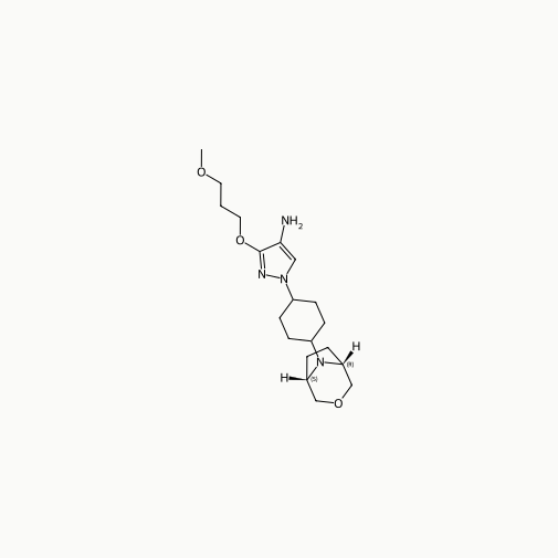 COCCCOc1nn(C2CCC(N3[C@@H]4CC[C@H]3COC4)CC2)cc1N